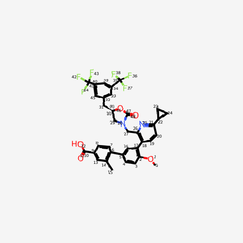 COc1ccc(-c2ccc(C(=O)O)cc2C)cc1-c1ccc(C2CC2)nc1CN1C[C@@H](Cc2cc(C(F)(F)F)cc(C(F)(F)F)c2)OC1=O